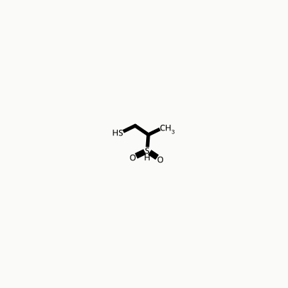 CC(CS)[SH](=O)=O